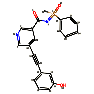 C[S@@](=O)(=NC(=O)c1cncc(C#Cc2cccc(O)c2)c1)c1ccccc1